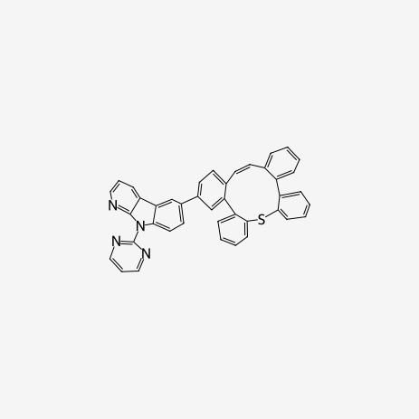 C1=C\c2ccc(-c3ccc4c(c3)c3cccnc3n4-c3ncccn3)cc2-c2ccccc2Sc2ccccc2-c2ccccc2/1